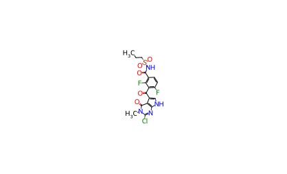 CCCS(=O)(=O)NC(=O)c1ccc(F)c(C(=O)c2c[nH]c3nc(Cl)n(C)c(=O)c23)c1F